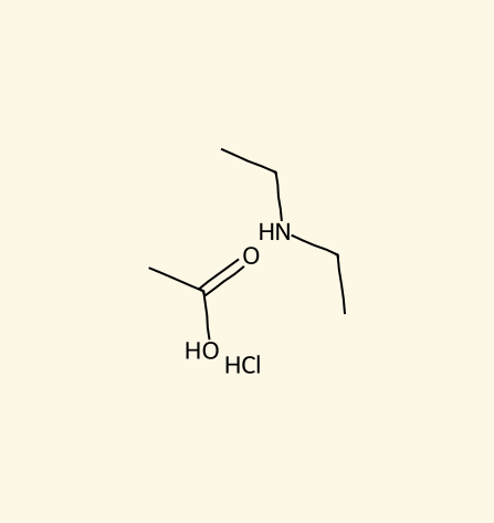 CC(=O)O.CCNCC.Cl